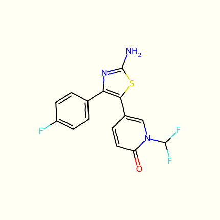 Nc1nc(-c2ccc(F)cc2)c(-c2ccc(=O)n(C(F)F)c2)s1